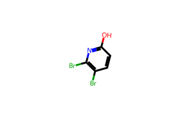 Oc1ccc(Br)c(Br)n1